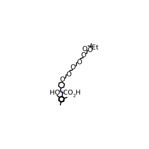 CCC(C)(C)OC(=O)COCCOCCOCCOCCOC1CCC(/C(O)=C(\C(=O)O)c2c(C)cc(C)cc2C)CC1